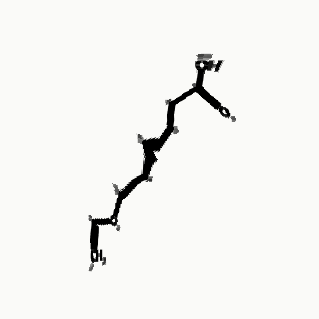 C=COCCCC[CH]C(=O)O